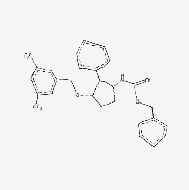 O=C(NC1CCC(OCc2cc(C(F)(F)F)cc(C(F)(F)F)c2)C1c1ccccc1)OCc1ccccc1